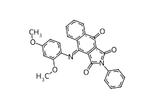 COc1ccc(N=c2c3c(=O)n(-c4ccccc4)c(=O)c=3c(=O)c3ccccc23)c(OC)c1